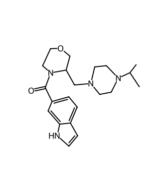 CC(C)N1CCN(CC2COCCN2C(=O)c2ccc3cc[nH]c3c2)CC1